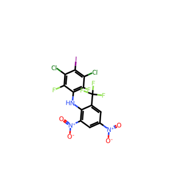 O=[N+]([O-])c1cc([N+](=O)[O-])c(Nc2c(F)c(Cl)c(I)c(Cl)c2F)c(C(F)(F)F)c1